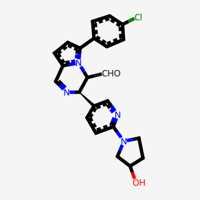 O=CC1[C@@H](c2ccc(N3CCC(O)C3)nc2)N=Cc2ccc(-c3ccc(Cl)cc3)n21